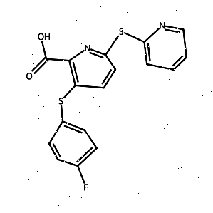 O=C(O)c1nc(Sc2ccccn2)ccc1Sc1ccc(F)cc1